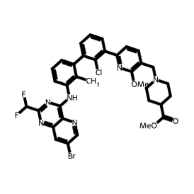 COC(=O)C1CCN(Cc2ccc(-c3cccc(-c4cccc(Nc5nc(C(F)F)nc6cc(Br)cnc56)c4C)c3Cl)nc2OC)CC1